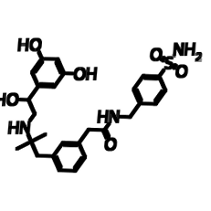 CC(C)(Cc1cccc(CC(=O)NCc2ccc(S(N)(=O)=O)cc2)c1)NCC(O)c1cc(O)cc(O)c1